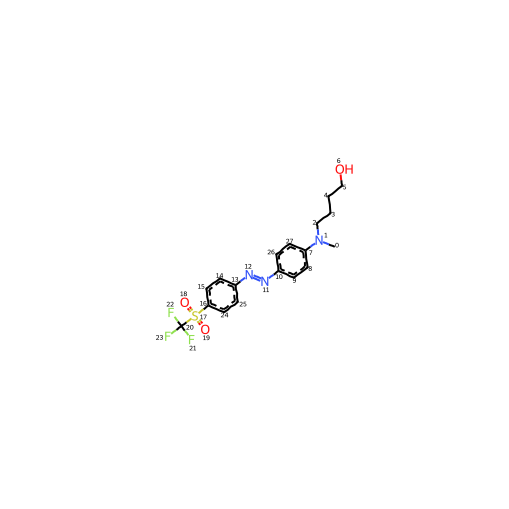 CN(CCCCO)c1ccc(N=Nc2ccc(S(=O)(=O)C(F)(F)F)cc2)cc1